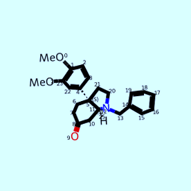 COc1ccc([C@@]23CCC(=O)C[C@@H]2N(Cc2ccccc2)CC3)cc1OC